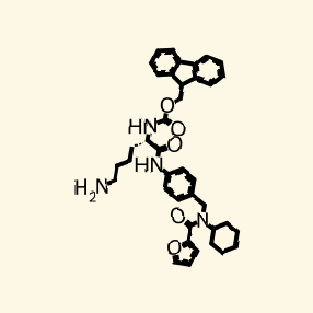 NCCCC[C@H](NC(=O)OCC1c2ccccc2-c2ccccc21)C(=O)Nc1ccc(CN(C(=O)c2ccco2)C2CCCCC2)cc1